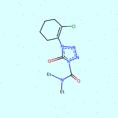 CCN(CC)C(=O)n1nnn(C2=C(Cl)CCCC2)c1=O